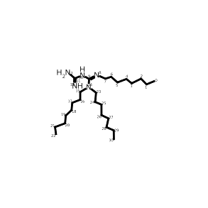 CCCCCCCCN=C(NC(=N)N)N(CCCCCCCC)CCCCCCCC